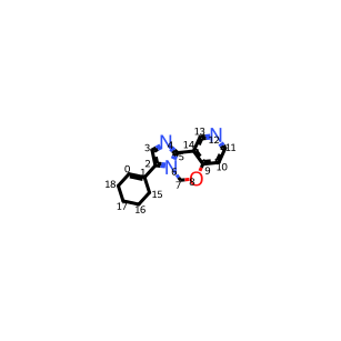 C1=C(c2cnc3n2COc2ccncc2-3)CCCC1